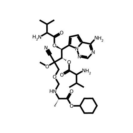 COC(C#N)(COCN[C@@H](C)C(=O)OC1CCCCC1)[C@@H](OC(=O)C(N)C(C)C)[C@@H](OC(=O)C(N)C(C)C)c1ccc2c(N)ncnn12